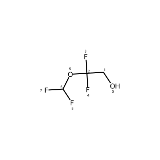 OCC(F)(F)OC(F)F